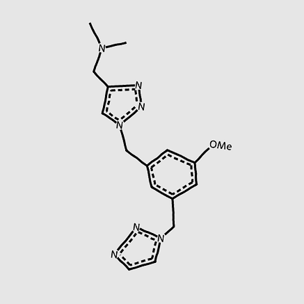 COc1cc(Cn2ccnn2)cc(Cn2cc(CN(C)C)nn2)c1